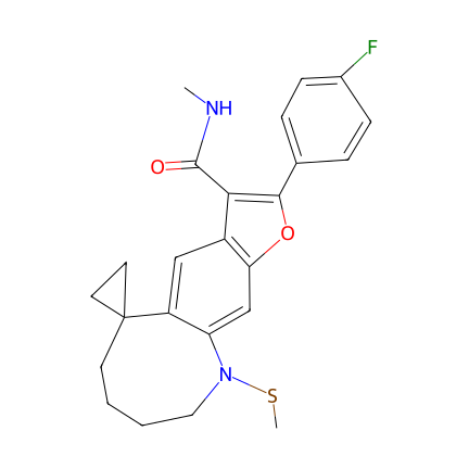 CNC(=O)c1c(-c2ccc(F)cc2)oc2cc3c(cc12)C1(CCCCN3SC)CC1